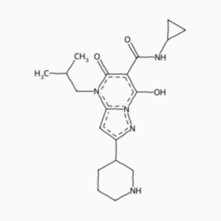 CC(C)Cn1c(=O)c(C(=O)NC2CC2)c(O)n2nc(C3CCCNC3)cc12